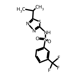 CC(C)c1nnc(NS(=O)(=O)c2cccc(C(F)(F)F)c2)s1